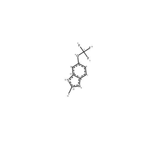 FC(F)(F)Oc1ccc2nc(I)sc2c1